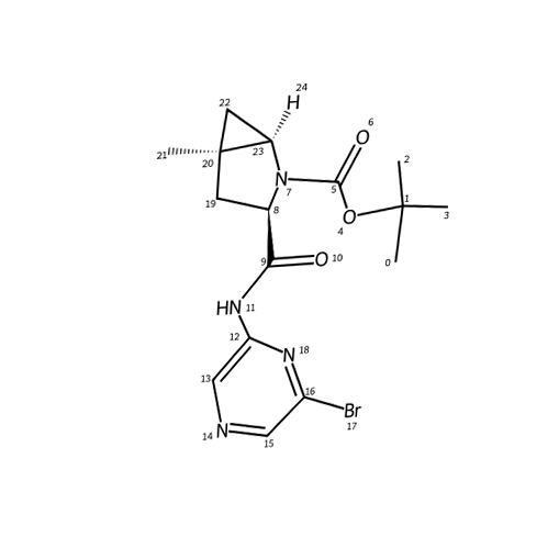 CC(C)(C)OC(=O)N1[C@@H](C(=O)Nc2cncc(Br)n2)C[C@@]2(C)C[C@@H]12